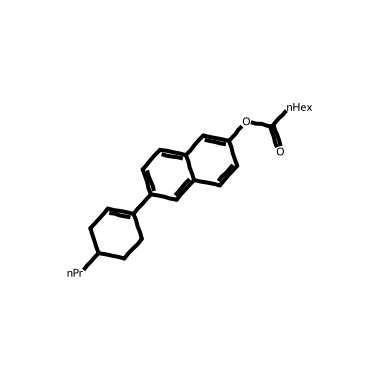 CCCCCCC(=O)Oc1ccc2cc(C3=CCC(CCC)CC3)ccc2c1